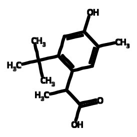 Cc1cc(C(C)C(=O)O)c(C(C)(C)C)cc1O